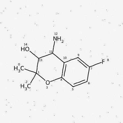 CC1(C)Oc2ccc(F)cc2C(N)C1O